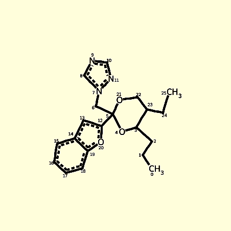 CCCC1OC(Cn2cncn2)(c2cc3ccccc3o2)OCC1CC